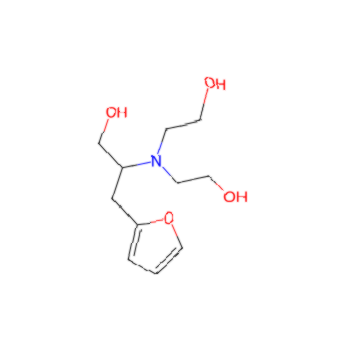 OCCN(CCO)C(CO)Cc1ccco1